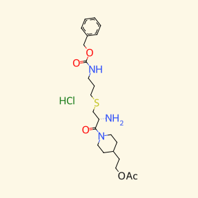 CC(=O)OCCC1CCN(C(=O)[C@@H](N)CSCCCNC(=O)OCc2ccccc2)CC1.Cl